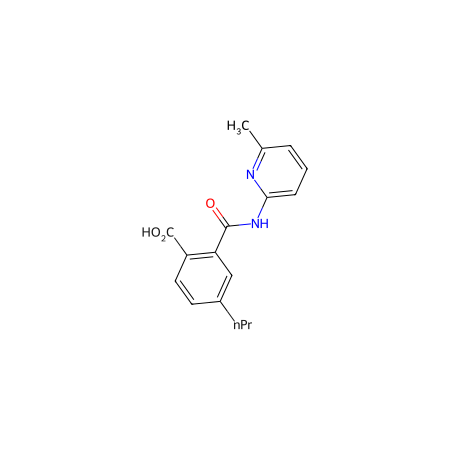 CCCc1ccc(C(=O)O)c(C(=O)Nc2cccc(C)n2)c1